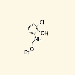 CCOCNc1cccc(Cl)c1O